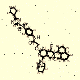 O=C(COc1nc(N2CC3CCC(C2)N3)c2cnc(-c3cccc4cccc(Cl)c34)c(F)c2n1)Nc1ccc(S(=O)(=O)n2cnc(C3CCCC3)n2)cc1